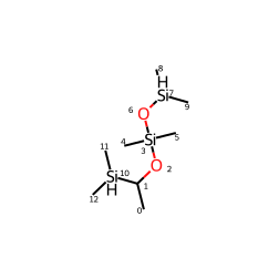 CC(O[Si](C)(C)O[SiH](C)C)[SiH](C)C